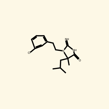 CC(C)CC1(C)C(=O)NC(=N)N1CCc1cccc(Cl)c1